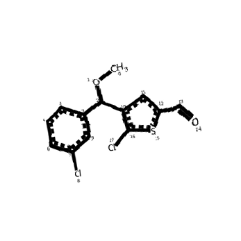 COC(c1cccc(Cl)c1)c1cc(C=O)sc1Cl